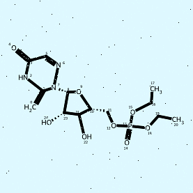 C=C1NC(=O)C=NN1[C@@H]1O[C@H](COP(=O)(OCC)OCC)C(O)[C@@H]1O